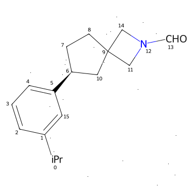 CC(C)c1cccc([C@H]2CCC3(C2)CN(C=O)C3)c1